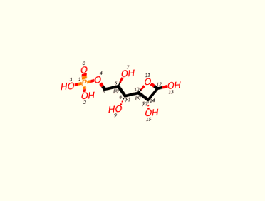 O=P(O)(O)OC[C@@H](O)[C@@H](O)[C@H]1OC(O)[C@@H]1O